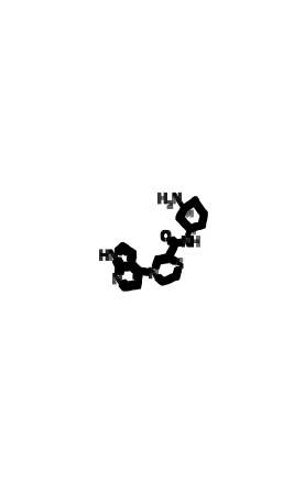 N[C@@H]1CCC[C@@H](NC(=O)C2=CN(c3ccnc4[nH]ccc34)CCS2)C1